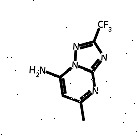 Cc1cc(N)n2nc(C(F)(F)F)nc2n1